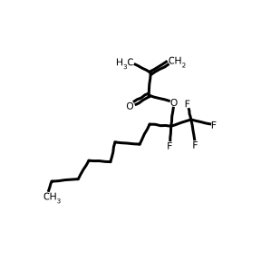 C=C(C)C(=O)OC(F)(CCCCCCCC)C(F)(F)F